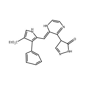 CCOC(=O)c1c[nH]c(C=C2NC=CN=C2C2C=NNC2=O)c1-c1ccccc1